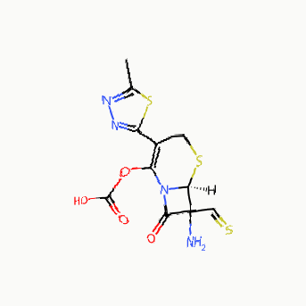 Cc1nnc(C2=C(OC(=O)O)N3C(=O)C(N)(C=S)[C@@H]3SC2)s1